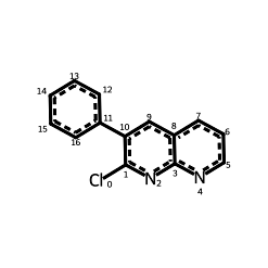 Clc1nc2ncccc2cc1-c1ccccc1